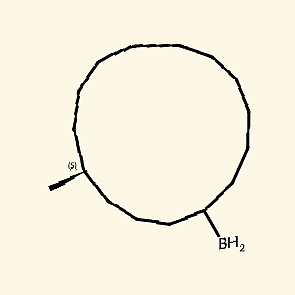 BC1CCCCCCCCCC[C@H](C)CCC1